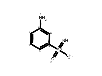 CS(=N)(=O)c1cccc(N)c1